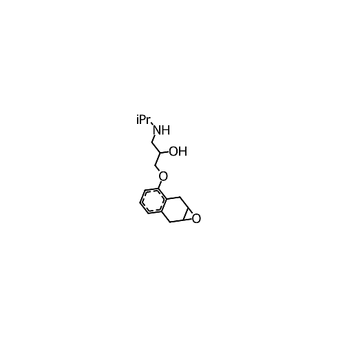 CC(C)NCC(O)COc1cccc2c1CC1OC1C2